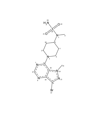 CN(C1CCN(c2ncnc3c(Br)nn(C)c23)CC1)S(N)(=O)=O